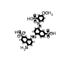 COc1ccc(N=Nc2ccc(N=Nc3ccc(N)c4ccc(S(=O)(=O)O)cc34)c3ccc(S(=O)(=O)O)cc23)c(S(=O)(=O)O)c1